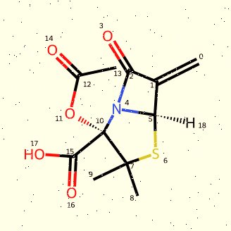 C=C1C(=O)N2[C@@H]1SC(C)(C)[C@@]2(OC(C)=O)C(=O)O